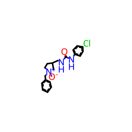 O=C(NCC1CC[N+]([O-])(Cc2ccccc2)C1)Nc1ccc(Cl)cc1